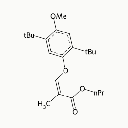 CCCOC(=O)C(C)=COc1cc(C(C)(C)C)c(OC)cc1C(C)(C)C